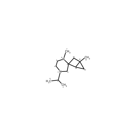 CC(C)N1CCN(C)C2(C1)CC1(C)CC12